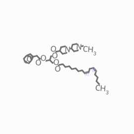 CCCCC/C=C\C/C=C\CCCCCCCC(=O)OCC(COC(=O)CC12CC3CC(CC1C3)C2)COC(=O)C1CCN(C2CCN(CC)CC2)CC1